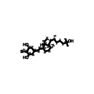 C[C@H](CCCC(C)(C)O)[C@H]1CC[C@H]2/C(=C/C=C3C[C@@H](O)C(Br)[C@H](O)C3)CCC[C@]12C